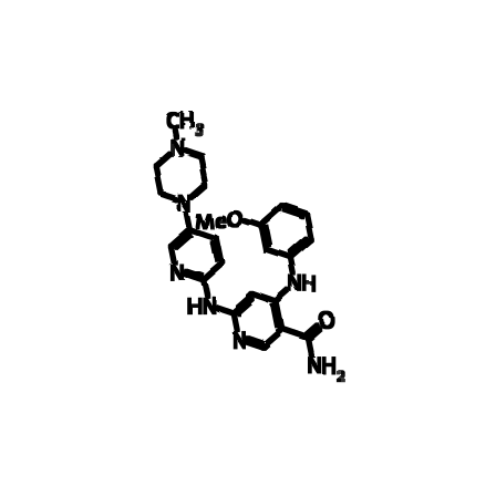 COc1cccc(Nc2cc(Nc3ccc(N4CCN(C)CC4)cn3)ncc2C(N)=O)c1